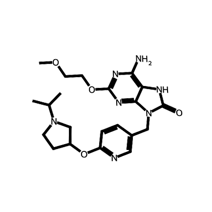 COCCOc1nc(N)c2[nH]c(=O)n(Cc3ccc(OC4CCN(C(C)C)C4)nc3)c2n1